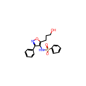 O=S(=O)(Nc1c(-c2ccccc2)noc1CCCO)c1ccccc1